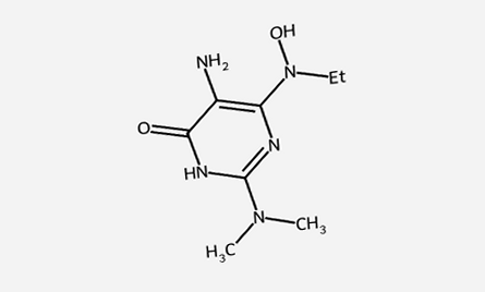 CCN(O)c1nc(N(C)C)[nH]c(=O)c1N